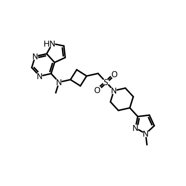 CN(c1ncnc2[nH]ccc12)C1CC(CS(=O)(=O)N2CCC(c3ccn(C)n3)CC2)C1